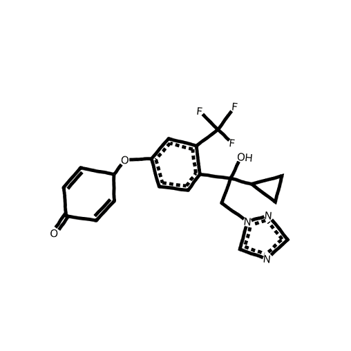 O=C1C=CC(Oc2ccc(C(O)(Cn3cncn3)C3CC3)c(C(F)(F)F)c2)C=C1